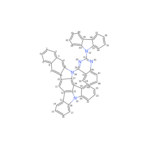 c1ccc2cc3c(cc2c1)c1cc2c4ccccc4n4c5ccccc5c(c1n3-c1nc(-n3c5ccccc5c5ccccc53)nc3ccccc13)c24